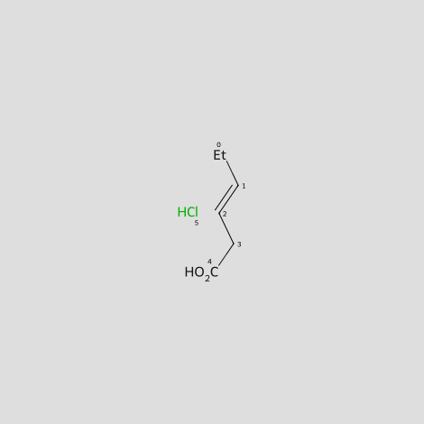 CCC=CCC(=O)O.Cl